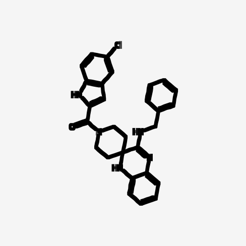 O=C(c1cc2cc(Cl)ccc2[nH]1)N1CCC2(CC1)Nc1ccccc1N=C2NCc1ccccc1